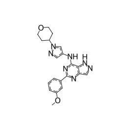 COc1cccc(-c2nc(Nc3cnn(C4CCOCC4)c3)c3[nH]ncc3n2)c1